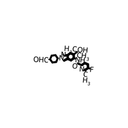 Cc1nc(C(=O)Nc2cc3cn([C@H]4CC[C@H](C=O)CC4)nc3cc2C(C)(C)O)ccc1F